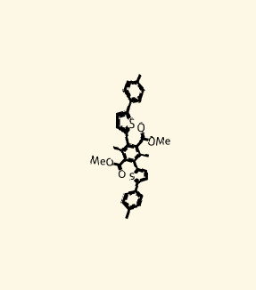 COC(=O)c1c(C)c(-c2ccc(-c3ccc(C)cc3)s2)c(C(=O)OC)c(C)c1-c1ccc(-c2ccc(C)cc2)s1